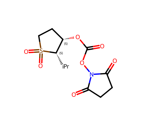 CC(C)[C@H]1[C@@H](OC(=O)ON2C(=O)CCC2=O)CCS1(=O)=O